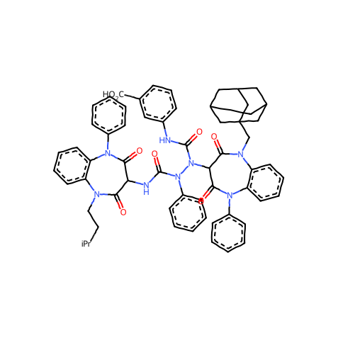 CC(C)CCN1C(=O)C(NC(=O)N(c2ccccc2)N(C(=O)Nc2cccc(C(=O)O)c2)C2C(=O)N(CC34CC5CC(CC(C5)C3)C4)c3ccccc3N(c3ccccc3)C2=O)C(=O)N(c2ccccc2)c2ccccc21